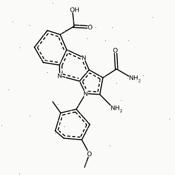 COc1ccc(C)c(-n2c(N)c(C(N)=O)c3nc4c(C(=O)O)cccc4nc32)c1